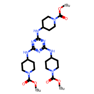 CC(C)(C)OC(=O)N1CCC(Nc2nc(NC3CCN(C(=O)OC(C)(C)C)CC3)nc(NC3CCN(C(=O)OC(C)(C)C)CC3)n2)CC1